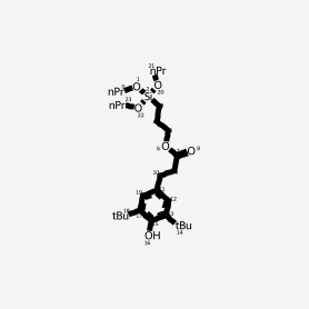 CCCO[Si](CCCOC(=O)CCc1cc(C(C)(C)C)c(O)c(C(C)(C)C)c1)(OCCC)OCCC